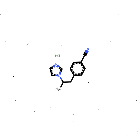 CC(Cc1ccc(C#N)cc1)n1ccnc1.Cl